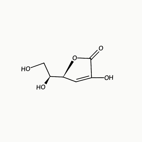 O=C1O[C@H]([C@@H](O)CO)C=C1O